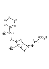 O=C(O)CO/N=C1/CC2C1CC(CCC(O)C1CCCCC1)C2O